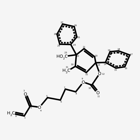 C=CC(=O)OCCCCOC(=O)OC1(c2ccccc2)C=CC(C(=O)O)(c2ccccc2)C(C)=C1